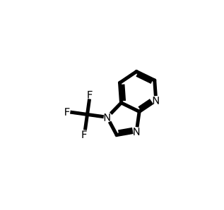 FC(F)(F)n1cnc2ncccc21